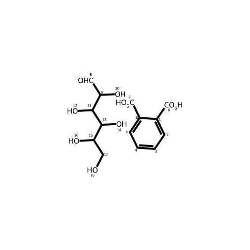 O=C(O)c1ccccc1C(=O)O.O=CC(O)C(O)C(O)C(O)CO